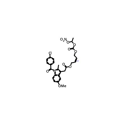 COc1ccc2c(c1)c(CC(=O)OC/C=C\COC(=O)OC(C)O[N+](=O)[O-])c(C)n2C(=O)c1ccc(Cl)cc1